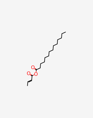 CC=CC(=O)OC(=O)CCCCCCCCCCCCC